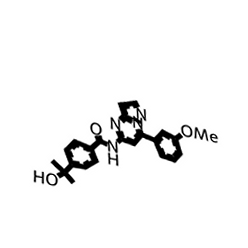 COc1cccc(-c2cc(NC(=O)c3ccc(C(C)(C)O)cc3)nc3ccnn23)c1